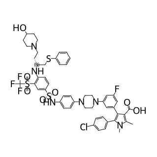 Cc1c(C(=O)O)c(-c2cc(F)cc(N3CCN(c4ccc(NS(=O)(=O)c5ccc(N[C@H](CCN6CCC(O)CC6)CSc6ccccc6)c(S(=O)(=O)C(F)(F)F)c5)cc4)CC3)c2)c(-c2ccc(Cl)cc2)n1C